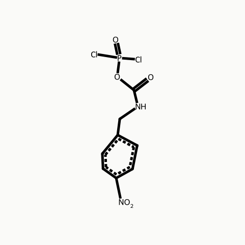 O=C(NCc1ccc([N+](=O)[O-])cc1)OP(=O)(Cl)Cl